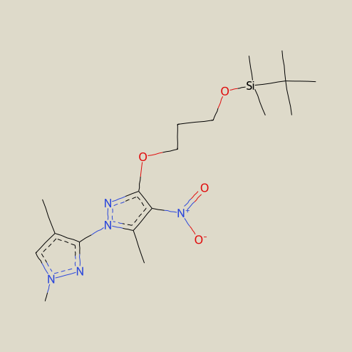 Cc1cn(C)nc1-n1nc(OCCCO[Si](C)(C)C(C)(C)C)c([N+](=O)[O-])c1C